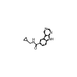 O=C(NCC1CC1)c1ccc2[nH]c3ncncc3c2c1